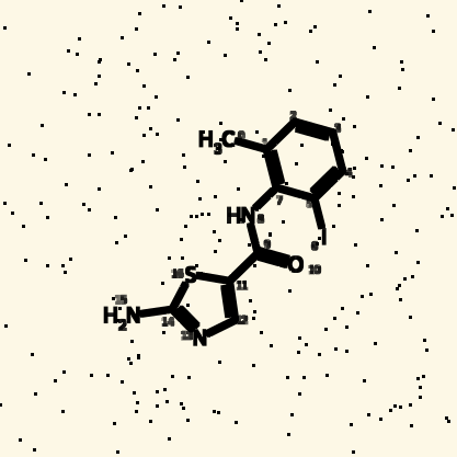 Cc1cccc(I)c1NC(=O)c1cnc(N)s1